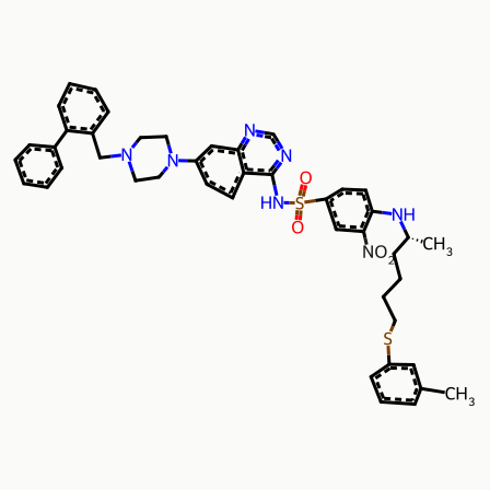 Cc1cccc(SCCCC[C@@H](C)Nc2ccc(S(=O)(=O)Nc3ncnc4cc(N5CCN(Cc6ccccc6-c6ccccc6)CC5)ccc34)cc2[N+](=O)[O-])c1